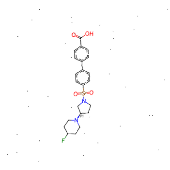 O=C(O)c1ccc(-c2ccc(S(=O)(=O)N3CC[C@@H](N4CCC(F)CC4)C3)cc2)cc1